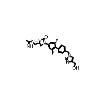 CC(=N)NCC1CN(c2cc(F)c(-c3ccc(Cn4cc(CO)nn4)cc3)c(F)c2)C(=O)O1